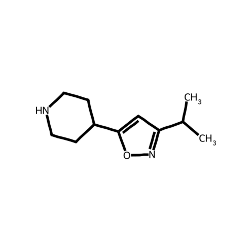 CC(C)c1cc(C2CCNCC2)on1